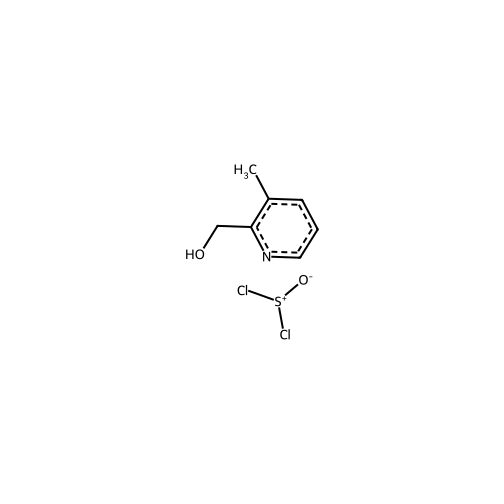 Cc1cccnc1CO.[O-][S+](Cl)Cl